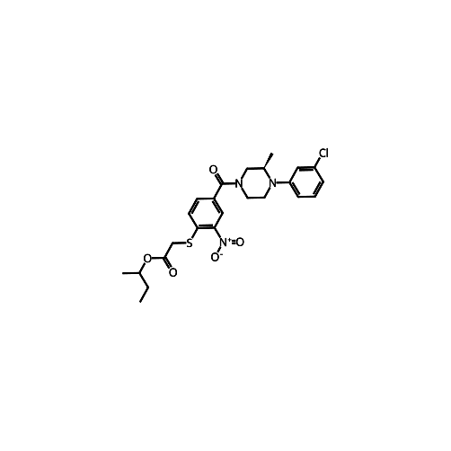 CCC(C)OC(=O)CSc1ccc(C(=O)N2CCN(c3cccc(Cl)c3)[C@H](C)C2)cc1[N+](=O)[O-]